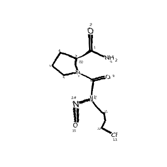 NC(=O)[C@@H]1CCCN1C(=O)N(CCCl)N=O